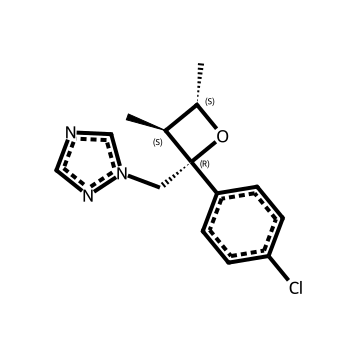 C[C@@H]1O[C@@](Cn2cncn2)(c2ccc(Cl)cc2)[C@H]1C